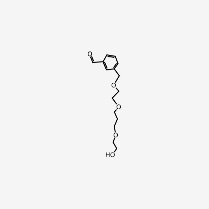 O=Cc1cccc(COCCOCCCOCCO)c1